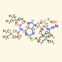 CC(C)(C)OC(=O)N(C(=O)OC(C)(C)C)c1nc(Cl)nc2c1ncn2[C@@H]1O[C@H](CO)[C@@H](N=[N+]=[N-])[C@H]1O[Si](C)(C)C(C)(C)C